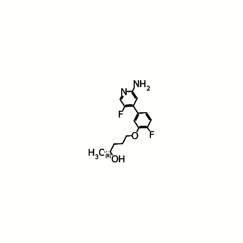 C[C@@H](O)CCCOc1cc(-c2cc(N)ncc2F)ccc1F